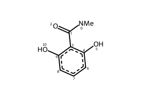 CNC(=O)c1c(O)cccc1O